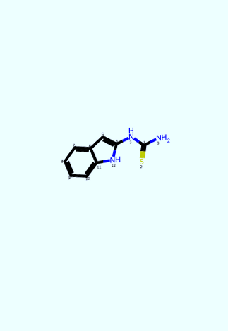 NC(=S)Nc1cc2ccccc2[nH]1